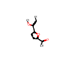 CC/C=C(\OCC)c1ccc(C(=O)CC)o1